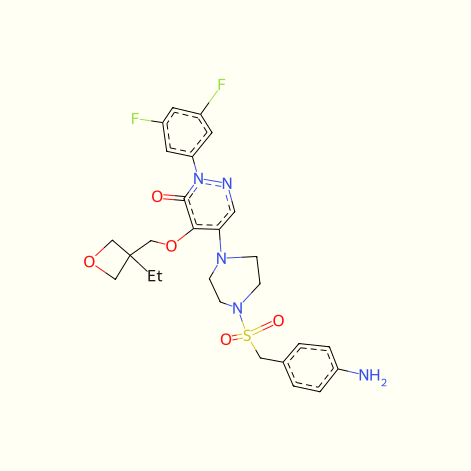 CCC1(COc2c(N3CCN(S(=O)(=O)Cc4ccc(N)cc4)CC3)cnn(-c3cc(F)cc(F)c3)c2=O)COC1